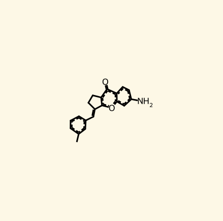 Cc1cccc(C=C2CCc3c2oc2cc(N)ccc2c3=O)c1